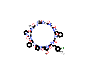 CCC[C@H]1C(=O)N[C@@H]([C@@H](C)CC)C(=O)N(C)CC(=O)N(C)CC(=O)N(C)[C@@H](CC2CCCCC2)C(=O)N(C)CC(=O)N[C@@H](CCc2ccc(C(F)(F)F)c(Cl)c2)C(=O)N2C[C@H](OCC)C[C@H]2C(=O)NC2(CCCC2)C(=O)N(C)[C@@H](C2CCCCC2)C(=O)N(C)[C@H](C(=O)N2CCCC2)CC(=O)N1C